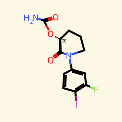 NC(=O)O[C@@H]1CCCN(c2ccc(I)c(F)c2)C1=O